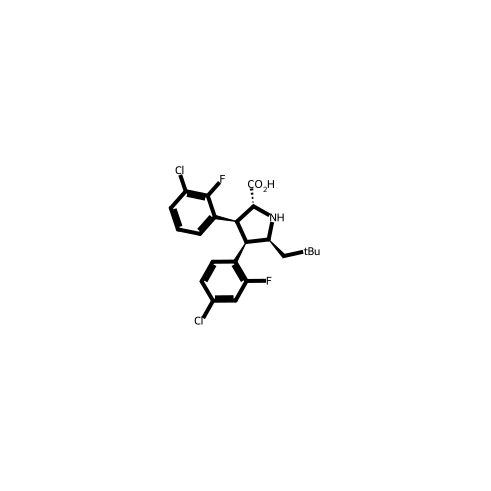 CC(C)(C)C[C@@H]1N[C@@H](C(=O)O)[C@H](c2cccc(Cl)c2F)[C@@H]1c1ccc(Cl)cc1F